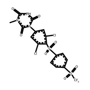 Cn1c(=O)[nH]c(=O)n(-c2cc(Cl)c(S(=O)(=O)c3ccc(S(=O)(=O)C(F)(F)F)cc3)c(Cl)c2)c1=O